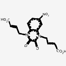 O=C(O)C=CCn1c(=O)c(=O)n(CC=CC(=O)O)c2cc([N+](=O)[O-])ccc21